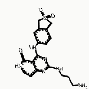 NCCCNc1nc(Nc2ccc3c(c2)CS(=O)(=O)C3)c2c(=O)[nH]ccc2n1